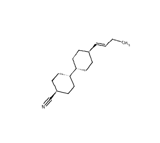 CCC=C[C@H]1CC[C@H]([C@H]2CC[C@H](C#N)CC2)CC1